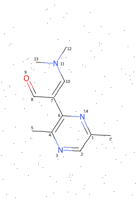 Cc1cnc(C)c(C(C=O)=CN(C)C)n1